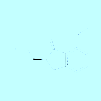 COc1cccc2c1C(=O)[C@H](CC=O)C2